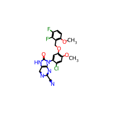 COc1cc(Cl)c(-n2c(=O)[nH]c3cnc(C#N)nc32)cc1OCc1c(OC)ccc(F)c1F